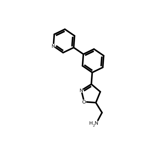 NCC1CC(c2cccc(-c3cccnc3)c2)=NO1